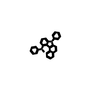 CN(c1ccccc1)c1cccc2c1c1c3ccccc3ccc1n2-c1ccccc1